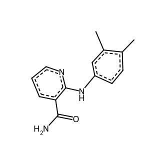 Cc1ccc(Nc2ncccc2C(N)=O)cc1C